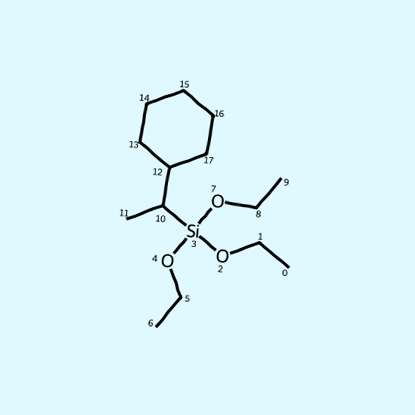 CCO[Si](OCC)(OCC)C(C)C1CCCCC1